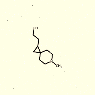 CN1CCC2(CC1)CC2CCO